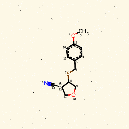 COc1ccc(CSC2COC[C@H]2C#N)cc1